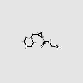 CCOC(=O)[C@H]1C[C@@H]1CN1CCOCC1